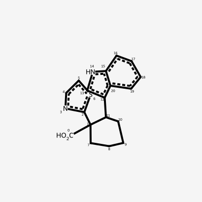 O=C(O)C1(c2nccs2)CCCCC1c1c[nH]c2ccccc12